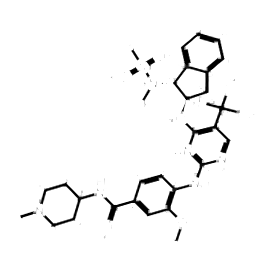 COc1cc(C(=O)NC2CCN(C)CC2)ccc1Nc1ncc(C(F)(F)F)c(O[C@@H]2Cc3ccccc3[C@H]2N(C)S(C)(=O)=O)n1